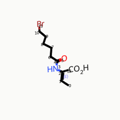 C/C=C(/NC(=O)CCCCCBr)C(=O)O